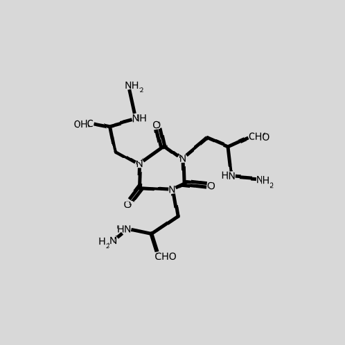 NNC(C=O)Cn1c(=O)n(CC(C=O)NN)c(=O)n(CC(C=O)NN)c1=O